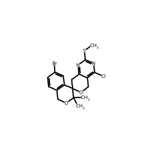 CSc1nc(Cl)c2c(n1)CC1(OC2)c2cc(Br)ccc2COC1(C)C